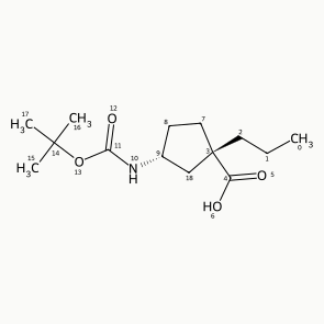 CCC[C@]1(C(=O)O)CC[C@@H](NC(=O)OC(C)(C)C)C1